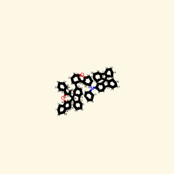 c1ccc(N(c2ccc3c(c2)C2(c4ccccc4-c4ccccc42)c2ccccc2-3)c2ccc3oc4cccc(-c5ccc6c(c5)C5(c7ccccc7-6)c6ccc7ccccc7c6Oc6c5ccc5ccccc65)c4c3c2)cc1